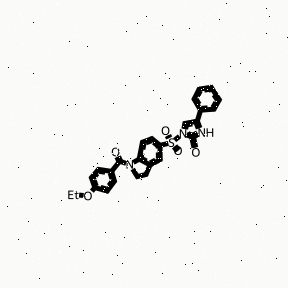 CCOc1ccc(C(=O)N2CCc3cc(S(=O)(=O)n4cc(-c5ccccc5)[nH]c4=O)ccc32)cc1